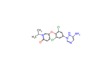 CC(C)n1cc(Oc2c(Cl)cc(N3C=NC=C(N)N3)cc2Cl)ccc1=O